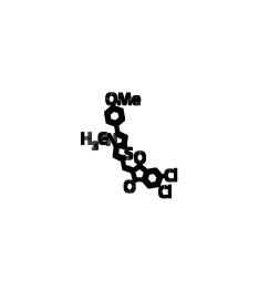 COc1ccc(-c2cc3sc(C=C4C(=O)c5cc(Cl)c(Cl)cc5C4=O)cc3n2C)cc1